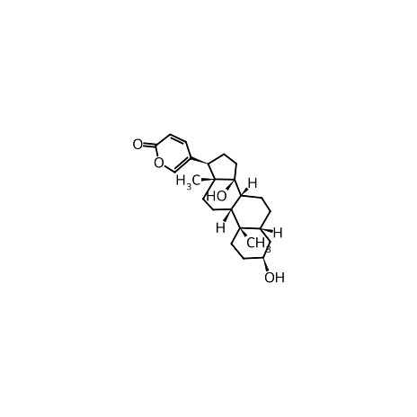 C[C@]12CC[C@H](O)C[C@H]1CC[C@@H]1[C@H]2CC[C@]2(C)[C@@H](c3ccc(=O)oc3)CC[C@]12O